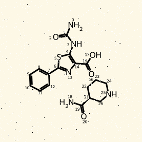 NC(=O)Nc1sc(-c2ccccc2)nc1C(=O)O.NC(=O)[C@H]1CCCNC1